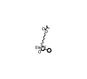 C=C(C)C(=O)OCCCCCCSc1nc(-c2ccccc2)cc(=O)n1CC